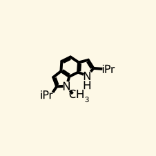 CC(C)c1cc2ccc3cc(C(C)C)n(C)c3c2[nH]1